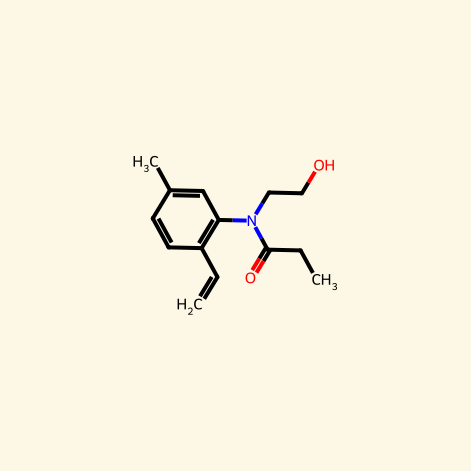 C=Cc1ccc(C)cc1N(CCO)C(=O)CC